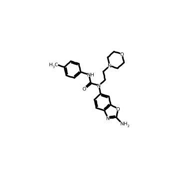 Cc1ccc(NC(=O)N(CCN2CCOCC2)c2ccc3nc(N)oc3c2)cc1